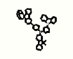 CC1(C)c2ccccc2-c2ccc(N(c3ccc(-c4ccc5c(c4)-c4ccccc4C54C5CC6CC(C5)CC4C6)cc3)c3cccc(-n4c5ccccc5c5ccccc54)c3)cc21